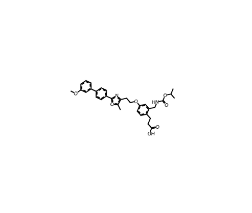 COc1cccc(-c2ccc(-c3nc(CCOc4ccc(CCC(=O)O)c(CNC(=O)OC(C)C)c4)c(C)o3)cc2)c1